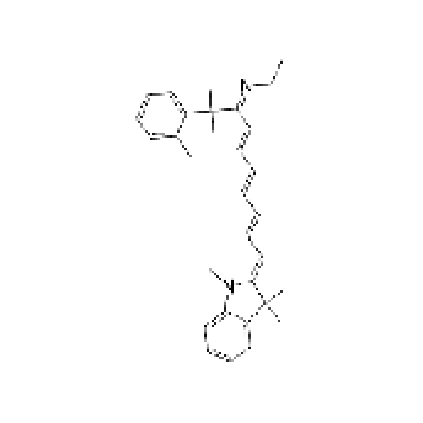 CC\N=C(/C=C/C=C/C=C/C=C1\N(C)c2ccccc2C1(C)C)C(C)(C)c1ccccc1C